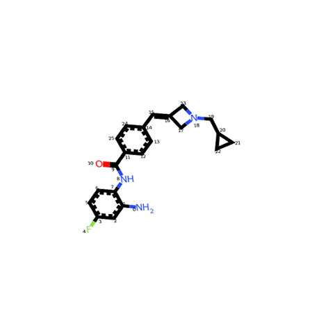 Nc1cc(F)ccc1NC(=O)c1ccc(C=C2CN(CC3CC3)C2)cc1